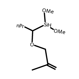 C=C(C)COC(CCC)[SiH](OC)OC